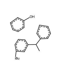 CCC(C)c1cccc(C(C)c2ccccc2)c1.Oc1ccccc1